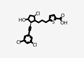 O=C(O)c1ccc(CCCC2[C@@H](C#Cc3cc(Cl)cc(Cl)c3)C(O)C[C@H]2Cl)s1